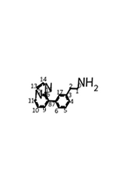 NCCc1cccc(-c2cccn3ccnc23)c1